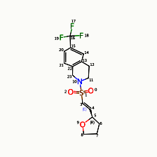 O=S(=O)(/C=C/[C@H]1CCCO1)N1CCc2cc(C(F)(F)F)ccc2C1